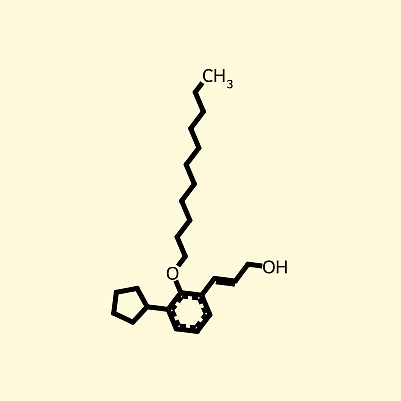 CCCCCCCCCCCOc1c(/C=C/CO)cccc1C1CCCC1